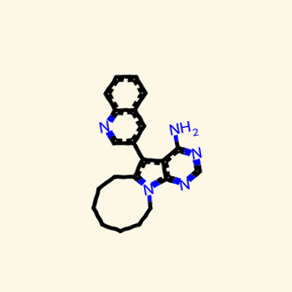 Nc1ncnc2c1c(-c1cnc3ccccc3c1)c1n2CCCCCCC1